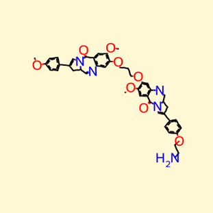 COc1ccc(C2=CN3C(=O)c4cc(OC)c(OCCCOc5cc6c(cc5OC)C(=O)N5C=C(c7ccc(OCCN)cc7)CC5C=N6)cc4N=CC3C2)cc1